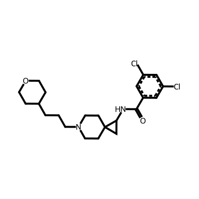 O=C(NC1CC12CCN(CCCC1CCOCC1)CC2)c1cc(Cl)cc(Cl)c1